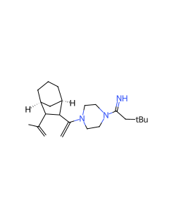 C=C(C)C1C(C(=C)N2CCN(C(=N)CC(C)(C)C)CC2)[C@@H]2CCC[C@H]1C2